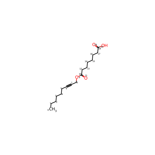 CCCCCCC#CCOC(=O)CCCCCCC(=O)O